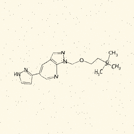 C[Si](C)(C)CCOCn1ncc2cc(-c3cc[nH]n3)cnc21